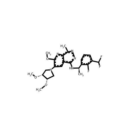 COc1nc2c(C)nnc(N[C@H](C)c3cccc(C(F)F)c3F)c2cc1N1C[C@H](OC)[C@H](OC)C1